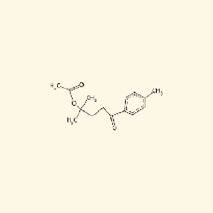 CC(=O)OC(C)(C)CCC(=O)c1ccc(C)cc1